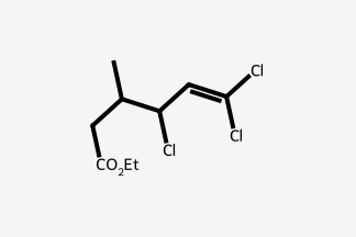 CCOC(=O)CC(C)C(Cl)C=C(Cl)Cl